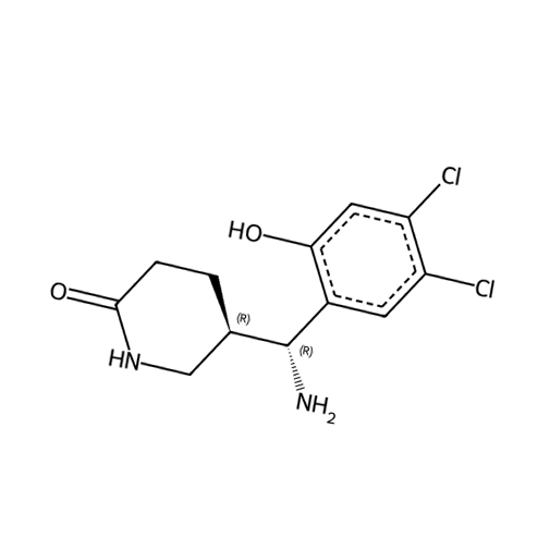 N[C@@H](c1cc(Cl)c(Cl)cc1O)[C@@H]1CCC(=O)NC1